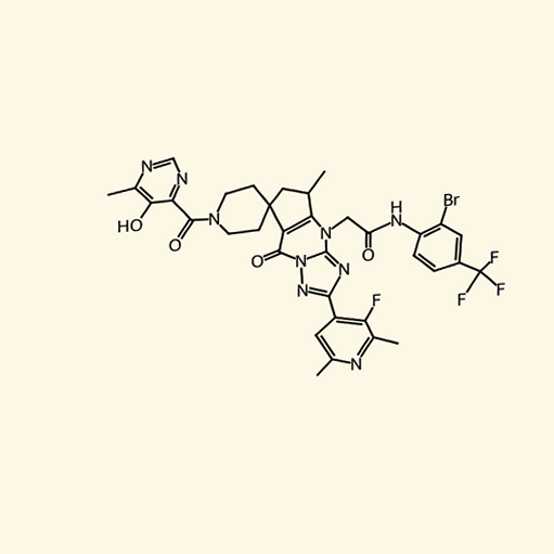 Cc1cc(-c2nc3n(CC(=O)Nc4ccc(C(F)(F)F)cc4Br)c4c(c(=O)n3n2)C2(CCN(C(=O)c3ncnc(C)c3O)CC2)CC4C)c(F)c(C)n1